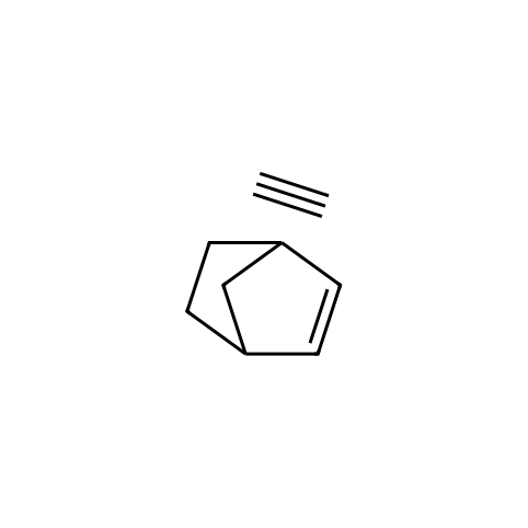 C#C.C1=CC2CCC1C2